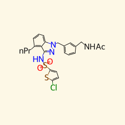 CCCc1cccc2c1c(NS(=O)(=O)c1ccc(Cl)s1)nn2Cc1cccc(CNC(C)=O)c1